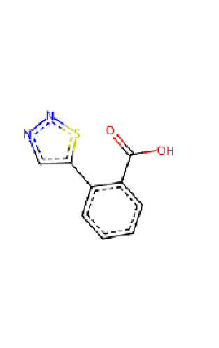 O=C(O)c1ccccc1-c1cnns1